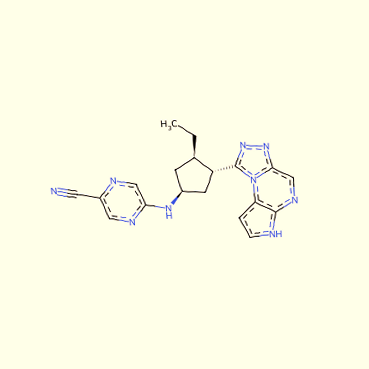 CC[C@@H]1C[C@H](Nc2cnc(C#N)cn2)C[C@H]1c1nnc2cnc3[nH]ccc3n12